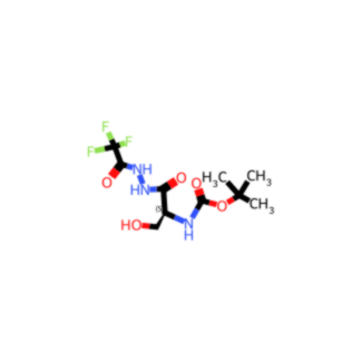 CC(C)(C)OC(=O)N[C@@H](CO)C(=O)NNC(=O)C(F)(F)F